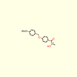 COc1ccc(COc2ccc(C(=O)[C@@H](C)O)cc2)cc1